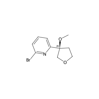 CO[C@@]1(c2cccc(Br)n2)CCOC1